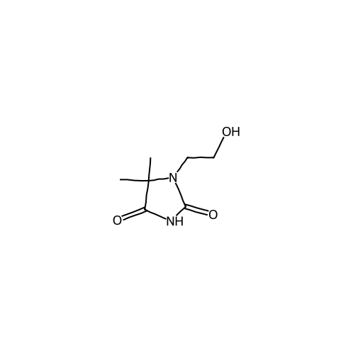 CC1(C)C(=O)NC(=O)N1CCO